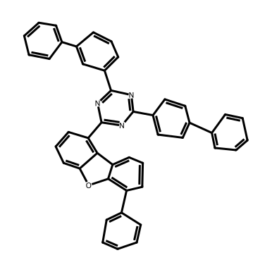 c1ccc(-c2ccc(-c3nc(-c4cccc(-c5ccccc5)c4)nc(-c4cccc5oc6c(-c7ccccc7)cccc6c45)n3)cc2)cc1